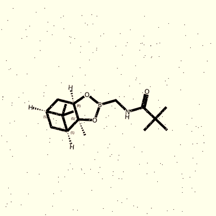 CC(C)(C)C(=O)NCB1O[C@@H]2C[C@@H]3C[C@@H](C3(C)C)[C@]2(C)O1